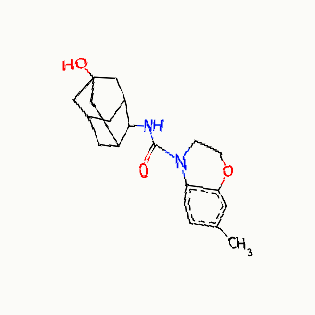 Cc1ccc2c(c1)OCCN2C(=O)NC1C2CC3CC1CC(O)(C3)C2